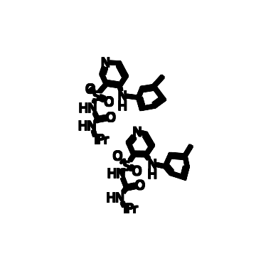 Cc1cccc(Nc2ccncc2S(=O)(=O)NC(=O)NC(C)C)c1.Cc1cccc(Nc2ccncc2S(=O)(=O)NC(=O)NC(C)C)c1